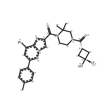 Cc1ccc(-c2cc(C(C)C)c3nc(C(=O)N4CCN(C(=O)[C@H]5C[C@](O)(C(F)(F)F)C5)CC4(C)C)cn3n2)cc1